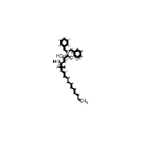 CCCCCCCCCCCCC(F)(F)[C@@H](O)C[C@H](O)[C@H](C)N(Cc1ccccc1)Cc1ccccc1